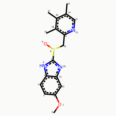 COc1ccc2[nH]c([S+]([O-])Cc3ncc(C)c(C)c3C)nc2c1